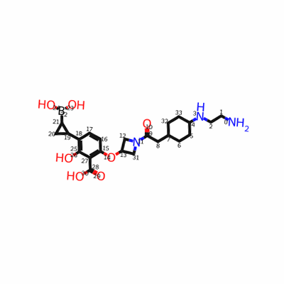 NCCNC1CCC(CC(=O)N2CC(Oc3ccc(C4CC4B(O)O)c(O)c3C(=O)O)C2)CC1